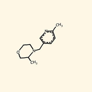 Cc1ccc(CN2CCOCC2C)cn1